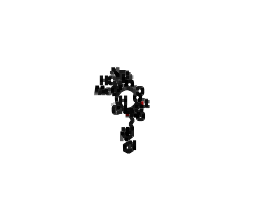 CCO[C@@H](O[C@@H]1CC(=O)[C@@H](C)C(=O)O[C@H](CC)[C@@]2(C)OC(=O)N(CCCCn3cc(-c4ccccn4)nn3)[C@@H]2[C@@H](C)NC(=O)[C@H](C)C[C@@]1(C)OC)C(O)C(CC)N(C)C